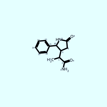 CC(C(N)=O)C1CC(=O)NC1c1ccccc1